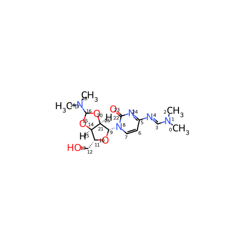 CN(C)/C=N/c1ccn([C@@H]2O[C@H](CO)[C@H]3OC(N(C)C)O[C@H]32)c(=O)n1